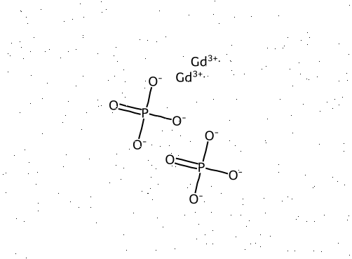 O=P([O-])([O-])[O-].O=P([O-])([O-])[O-].[Gd+3].[Gd+3]